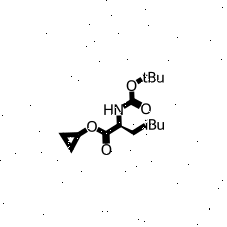 CCC(C)C[C@H](NC(=O)OC(C)(C)C)C(=O)OC1CC1